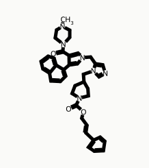 CN1CCN(C(=O)c2cn(Cc3cncn3CC3CCN(C(=O)OCC=Cc4ccccc4)CC3)cc2-c2cccc3ccccc23)CC1